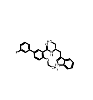 CCOc1ccc(-c2cccc(F)c2)cc1C(=O)N[C@@H](CO)Cc1c[nH]c2ccccc12